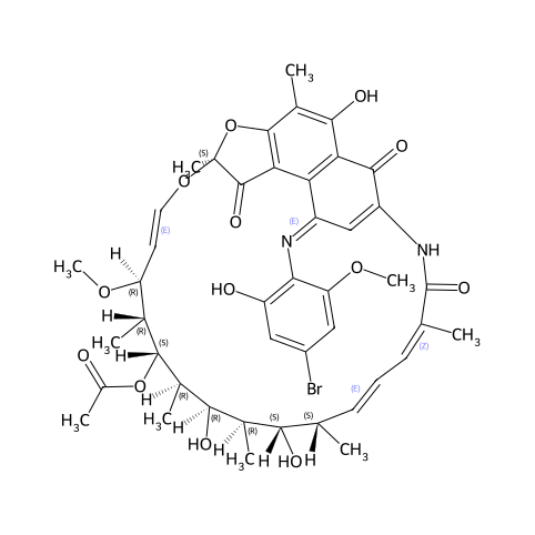 COc1cc(Br)cc(O)c1/N=C1\C=C2NC(=O)/C(C)=C\C=C\[C@H](C)[C@H](O)[C@@H](C)[C@@H](O)[C@@H](C)[C@H](OC(C)=O)[C@H](C)[C@@H](OC)/C=C/O[C@@]3(C)Oc4c(C)c(O)c(c1c4C3=O)C2=O